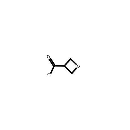 O=C(Cl)C1COC1